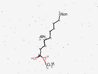 CCCCCCCCCCCCCCCCCC(=O)OS(=O)(=O)O.[AlH3]